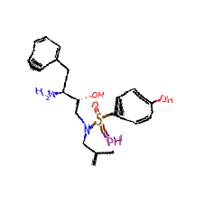 CC(C)CN(C[C@@H](O)[C@@H](N)Cc1ccccc1)S(=O)(=P)c1ccc(O)cc1